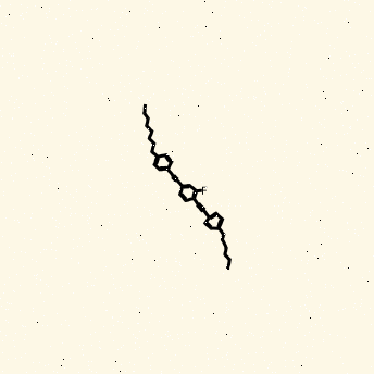 CCCCCCCCc1ccc(C#Cc2ccc(C#Cc3ccc(CCCCCC)cc3)c(F)c2)cc1